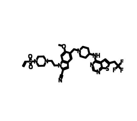 C=CS(=O)(=O)N1CCN(CCn2c(C#N)cc3cc(CN4CCC(Nc5ncnc6sc(CC(F)(F)F)cc56)CC4)c(OC)cc32)CC1